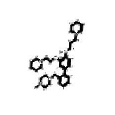 CN1CCN(Cc2ccccc2-c2ccc(NCCCN3CCCCC3)c(OCCN3CCCCC3)c2)CC1